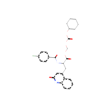 O=C(OCOC(=O)C(Cc1cc(=O)[nH]c2ccccc12)NC(=O)c1ccc(Cl)cc1)OC1CCCCC1